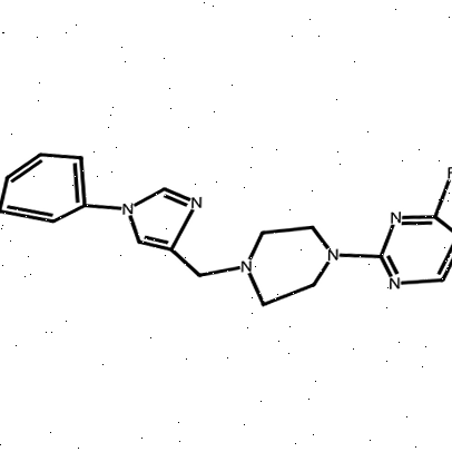 Fc1ccnc(N2CCN(Cc3cn(-c4ccccc4)cn3)CC2)n1